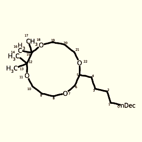 CCCCCCCCCCCCCCC1COCCCOC(C)(C)C(C)(C)OCCCO1